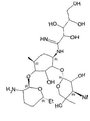 CC[C@@H]1CCC(N)[C@@H](OC2C(O)C(O[C@H]3OCC(C)(O)[C@H](NC)C3O)[C@H](NC(=N)C(O)C(O)C(O)CO)C[C@@H]2C)O1